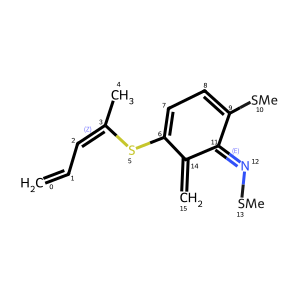 C=C/C=C(/C)SC1=CC=C(SC)/C(=N/SC)C1=C